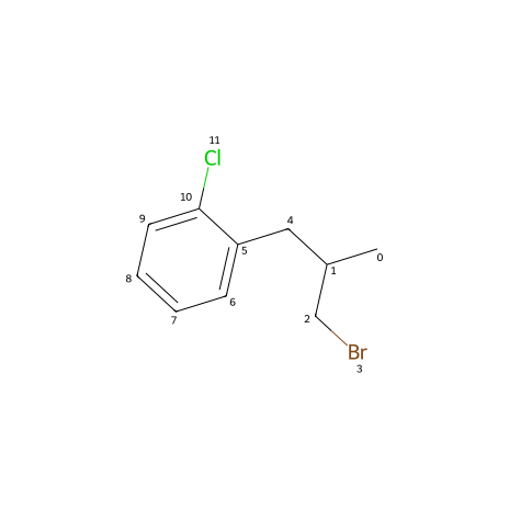 CC(CBr)Cc1ccccc1Cl